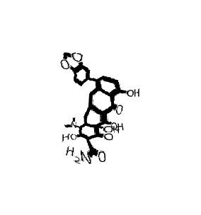 CN(C)[C@@H]1C(O)=C(C(N)=O)C(=O)[C@@]2(O)C(O)=C3C(=O)c4c(O)ccc(-c5ccc6c(c5)OCO6)c4CC3CC12